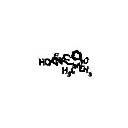 C[C@@H](CCCN1CC(O)C1)N(C)C(=O)c1cccc(C(F)(F)F)c1